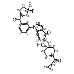 O=C(c1cccc(-n2ncc3c(=O)n(CC4(O)CCN(C(=O)C5CC5)CC4)cnc32)c1)N1CCC(F)(F)C1